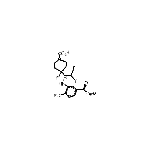 COC(=O)c1ccc(C(F)(F)F)c(N[C@@H](C(F)F)C2(F)CCN(C(=O)O)CC2)c1